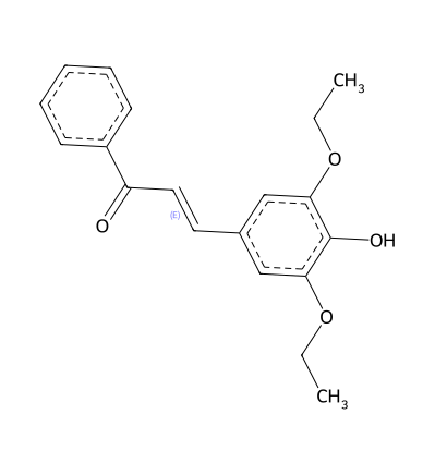 CCOc1cc(/C=C/C(=O)c2ccccc2)cc(OCC)c1O